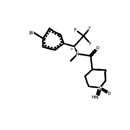 CN(C(=O)C1CCS(=N)(=O)CC1)[C@@H](c1ccc(Br)cc1)C(F)(F)F